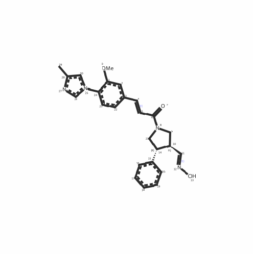 COc1cc(/C=C/C(=O)N2C[C@@H](/C=N/O)[C@H](c3ccccc3)C2)ccc1-n1cnc(C)c1